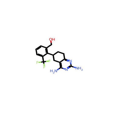 Nc1nc(N)c2c(n1)CCC(c1c(CO)cccc1C(F)(F)F)C2